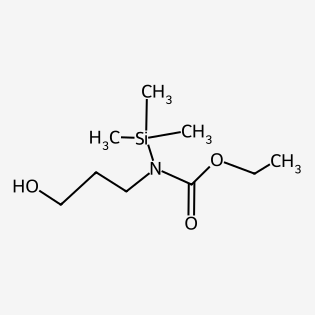 CCOC(=O)N(CCCO)[Si](C)(C)C